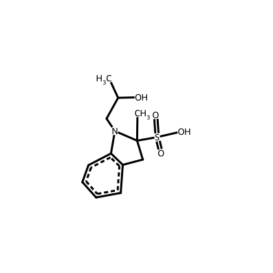 CC(O)CN1c2ccccc2CC1(C)S(=O)(=O)O